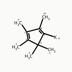 CC1=C(C)C(C)(C)[C]([K])=C1C